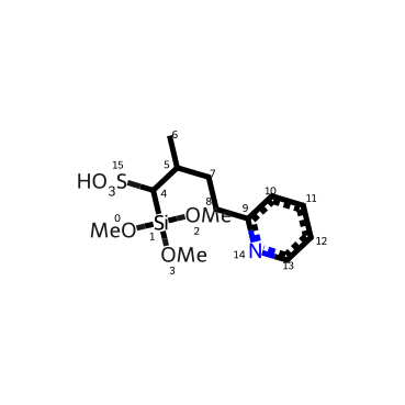 CO[Si](OC)(OC)C(C(C)CCc1ccccn1)S(=O)(=O)O